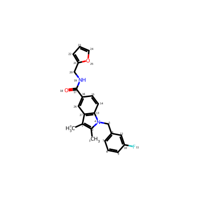 Cc1c(C)n(Cc2cccc(F)c2)c2ccc(C(=O)NCc3ccco3)cc12